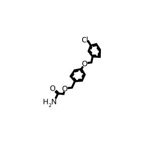 NC(=O)COCc1ccc(OCc2cccc(Cl)c2)cc1